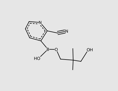 CC(C)(CO)COB(O)c1cccnc1C#N